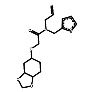 C=CCN(Cc1cccs1)C(=O)COC1CCC2OCOC2C1